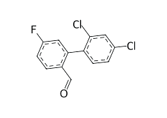 O=Cc1ccc(F)cc1-c1ccc(Cl)cc1Cl